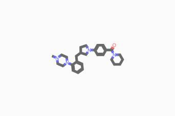 CN1CCN(c2ccccc2CC2CCN(c3ccc(C(=O)N4CCCCC4)cc3)C2)CC1